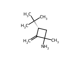 C=C1[C@H](C(C)(C)C)CC1(C)N